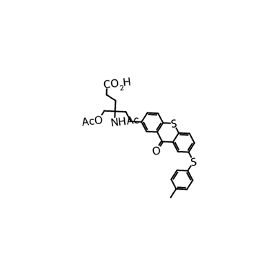 CC(=O)NC(CCC(=O)O)(CCc1ccc2sc3ccc(Sc4ccc(C)cc4)cc3c(=O)c2c1)COC(C)=O